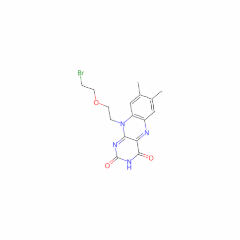 Cc1cc2nc3c(=O)[nH]c(=O)nc-3n(CCOCCBr)c2cc1C